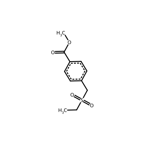 CCS(=O)(=O)Cc1ccc(C(=O)OC)cc1